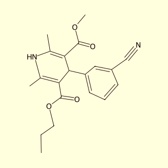 CCCOC(=O)C1=C(C)NC(C)=C(C(=O)OC)C1c1cccc(C#N)c1